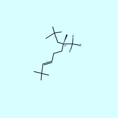 CC(C)(C)/C=C/CC[C@](C)(CC(C)(C)C)C(F)(F)F